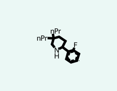 CCCC1(CCC)CCC(c2cc[c]cc2F)NC1